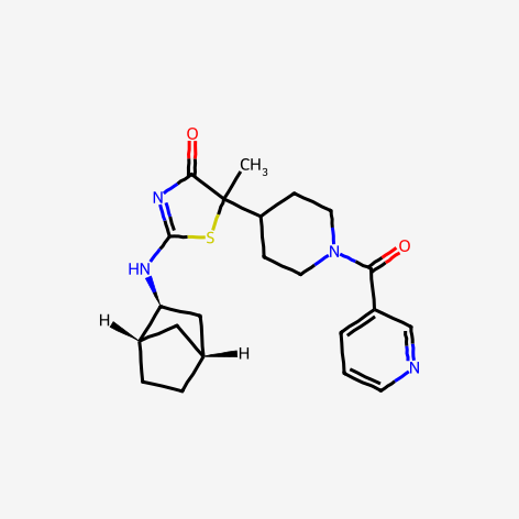 CC1(C2CCN(C(=O)c3cccnc3)CC2)SC(N[C@H]2C[C@@H]3CC[C@H]2C3)=NC1=O